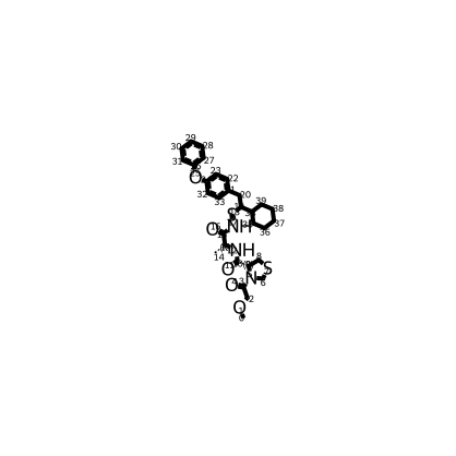 COCC(=O)N1CSC[C@H]1C(=O)N[C@H](C)C(=O)NSC(Cc1ccc(Oc2ccccc2)cc1)C1CCCCC1